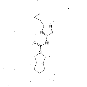 O=C(Nc1nc(C2CC2)ns1)N1CC2CCCC2C1